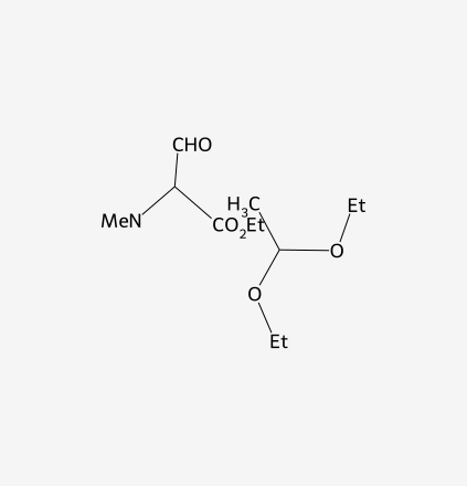 CCOC(=O)C(C=O)NC.CCOC(C)OCC